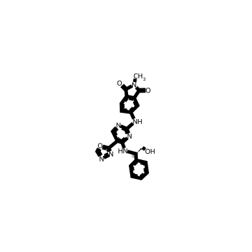 CN1C(=O)c2ccc(Nc3ncc(-c4nnco4)c(N[C@H](CO)c4ccccc4)n3)cc2C1=O